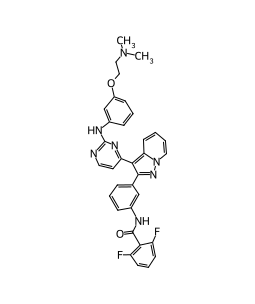 CN(C)CCOc1cccc(Nc2nccc(-c3c(-c4cccc(NC(=O)c5c(F)cccc5F)c4)nn4ccccc34)n2)c1